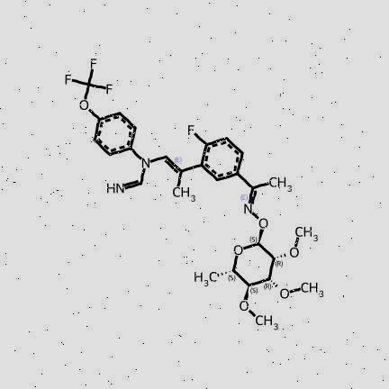 CO[C@@H]1[C@@H](OC)[C@H](C)O[C@@H](O/N=C(\C)c2ccc(F)c(/C(C)=C/N(C=N)c3ccc(OC(F)(F)F)cc3)c2)[C@@H]1OC